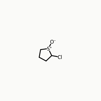 [O-][S+]1CCCC1Cl